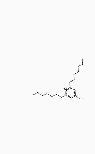 [CH2]c1nc(CCCCCCC)nc(CCCCCCC)n1